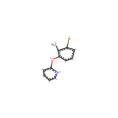 Cc1c(Br)cccc1Oc1ccccn1